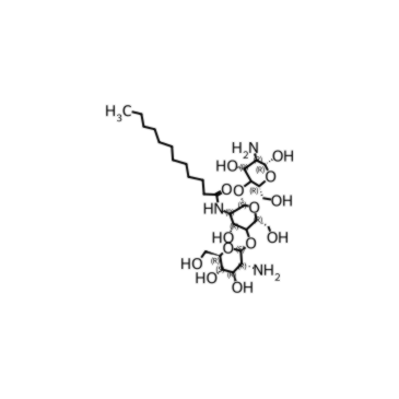 CCCCCCCCCCCC(=O)N[C@H]1[C@H](OC2[C@@H](CO)O[C@@H](O)[C@H](N)[C@H]2O)O[C@H](CO)C(O[C@@H]2O[C@H](CO)[C@@H](O)[C@H](O)[C@H]2N)[C@@H]1O